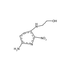 Nc1ccc(NCCO)c([N+](=O)[O-])n1